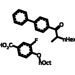 CCCCCCC(C)C(=O)c1ccc(-c2ccccc2)cc1.CCCCCCCCOc1ccc(C(=O)O)cc1F